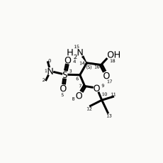 CN(C)S(=O)(=O)C(C(=O)OC(C)(C)C)[C@@H](N)C(=O)O